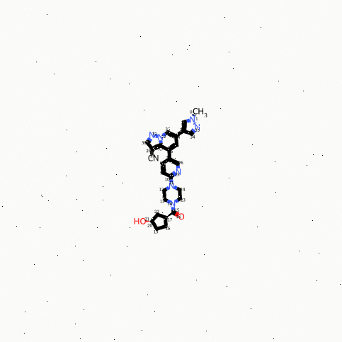 Cn1cc(-c2cc(-c3ccc(N4CCN(C(=O)[C@H]5CC[C@H](O)C5)CC4)nc3)c3c(C#N)cnn3c2)cn1